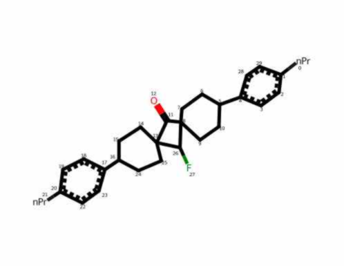 CCCc1ccc(C2CCC3(CC2)C(=O)C2(CCC(c4ccc(CCC)cc4)CC2)C3F)cc1